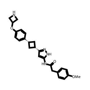 COc1ccc(CC(=O)Nc2cc([C@H]3C[C@@H](c4ccc(OC5CNC5)cc4)C3)n[nH]2)cc1